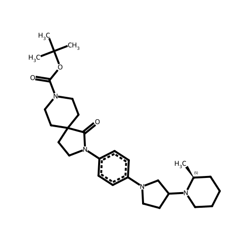 C[C@H]1CCCCN1C1CCN(c2ccc(N3CCC4(CCN(C(=O)OC(C)(C)C)CC4)C3=O)cc2)C1